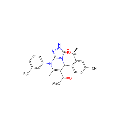 COC(=O)C1=C(C)N(c2cccc(C(F)(F)F)c2)c2n[nH]c(=O)n2C1c1ccc(C#N)cc1[C@H](C)O